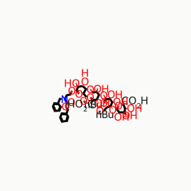 CCCCOCC1O[C@@H](OCCN(Cc2ccccc2)C(=O)OCc2ccccc2)[C@@H](O)C(O)[C@@H]1O[C@@H]1OC(C(=O)O)[C@@H](O)C(O[C@@H]2OC(COCCCC)[C@@H](O[C@@H]3OC(C(=O)O)[C@@H](O)C(O)[C@@H]3O)[C@H](O)C2O)[C@@H]1O